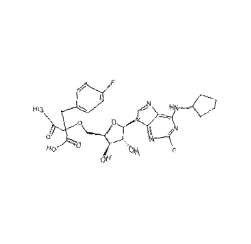 O=C(O)C(Cc1ccc(F)cc1)(OC[C@H]1O[C@@H](n2cnc3c(NC4CCCC4)nc(Cl)nc32)[C@H](O)[C@H]1O)C(=O)O